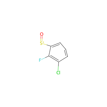 O=[S+]c1cccc(Cl)c1F